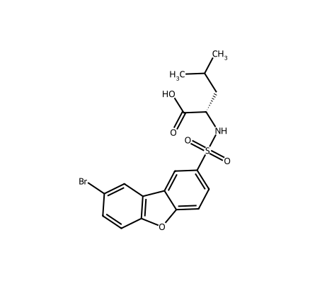 CC(C)C[C@H](NS(=O)(=O)c1ccc2oc3ccc(Br)cc3c2c1)C(=O)O